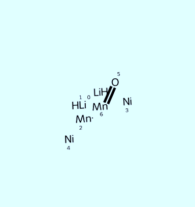 [LiH].[LiH].[Mn].[Ni].[Ni].[O]=[Mn]